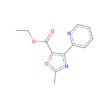 CCOC(=O)c1oc(C)nc1-c1ccccn1